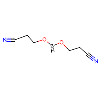 N#CCCOBOCCC#N